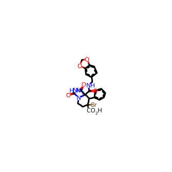 NC(=O)N1CCC(Br)(C(=O)O)C(c2ccccc2)C1(C(N)=O)C(=O)NCc1ccc2c(c1)OCO2